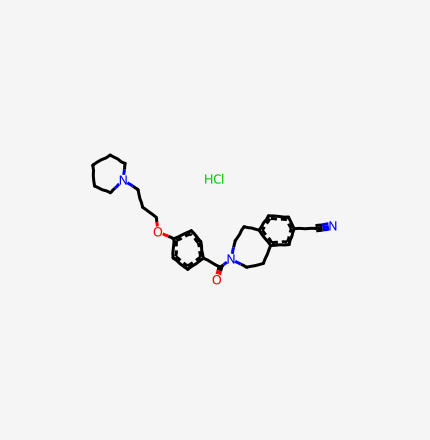 Cl.N#Cc1ccc2c(c1)CCN(C(=O)c1ccc(OCCCN3CCCCC3)cc1)CC2